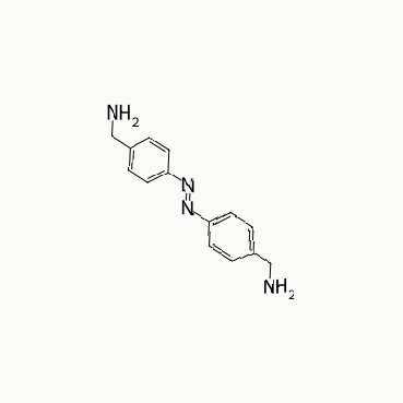 NCc1ccc(/N=N/c2ccc(CN)cc2)cc1